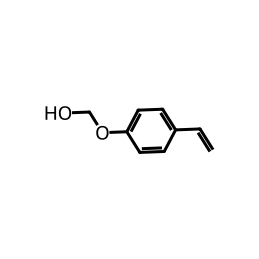 C=Cc1ccc(OCO)cc1